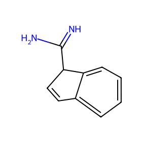 N=C(N)C1C=Cc2ccccc21